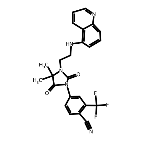 CC1(C)C(=O)N(c2ccc(C#N)c(C(F)(F)F)c2)C(=O)N1CCNc1cccc2ncccc12